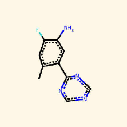 Cc1cc(F)c(N)cc1-c1ncncn1